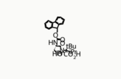 CC(C)C[C@H](NC(=O)OCC1c2ccccc2-c2ccccc21)C(=O)N(O)[C@@](C(=O)O)(C(C)C)C(C)(C)C